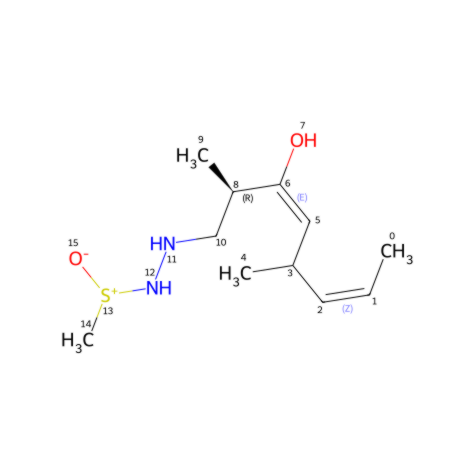 C/C=C\C(C)/C=C(/O)[C@H](C)CNN[S+](C)[O-]